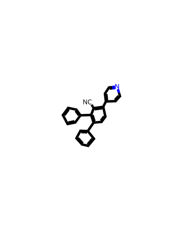 N#Cc1c(-c2ccncc2)ccc(-c2ccccc2)c1-c1ccccc1